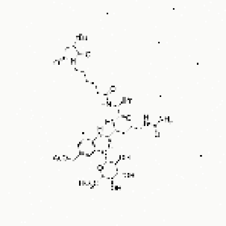 CC(=O)OCc1ccc(NC(=O)[C@H](CCCNC(N)=O)NC(=O)[C@@H](NC(=O)CCCCCN2C(=O)CC(C(C)(C)C)C2=O)C(C)C)c(OC2O[C@@H](C(=O)O)[C@H](O)[C@@H](O)[C@@H]2O)c1